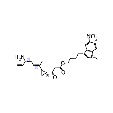 C=C/C(N)=C\C=C(/C)C1C[C@H]1C(=O)CC(=O)OCCCCc1cn(C)c2ccc([N+](=O)[O-])cc12